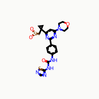 O=C(Nc1ccc(-c2nc(N3CCOCC3)cc(C3(C[SH](=O)=O)CC3)n2)cc1)Nc1ncns1